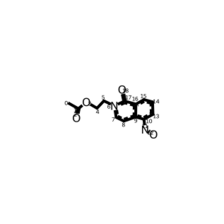 CC(=O)OCCn1ccc2c(N=O)cccc2c1=O